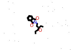 CCC1OC1(CC)CCN1C(=O)c2ccccc2C1=O